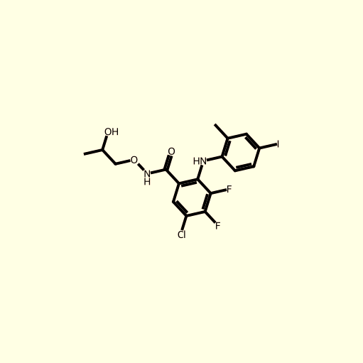 Cc1cc(I)ccc1Nc1c(C(=O)NOCC(C)O)cc(Cl)c(F)c1F